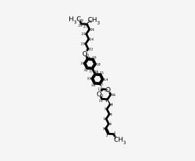 CC/C=C\CCCCC[C@H]1CO[C@H](c2ccc(-c3ccc(OCCCCC[C@@H](C)CC)cc3)cc2)OC1